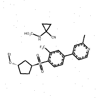 CCO[C@H]1CC[C@H](S(=O)(=O)c2ccc(-c3ccnc(C)c3)cc2C(F)(F)F)C1.N#CC1(NC(=O)O)CC1